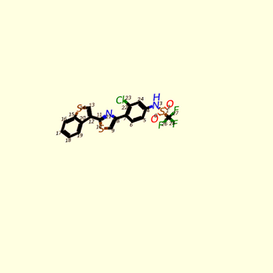 O=S(=O)(Nc1ccc(-c2csc(-c3csc4ccccc34)n2)c(Cl)c1)C(F)(F)F